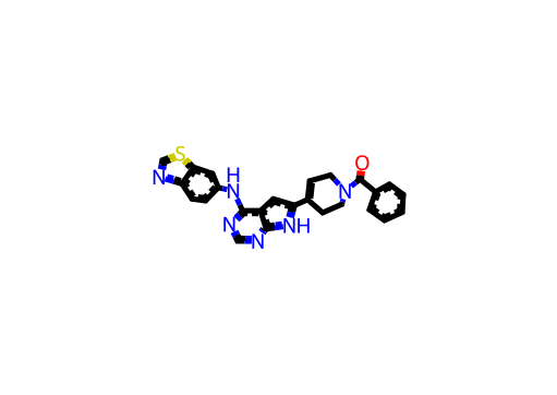 O=C(c1ccccc1)N1CC=C(c2cc3c(Nc4ccc5ncsc5c4)ncnc3[nH]2)CC1